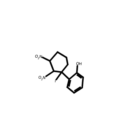 O=[N+]([O-])C1CCCC(I)(c2ccccc2O)C1[N+](=O)[O-]